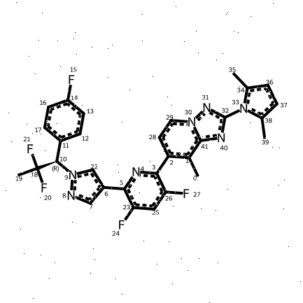 Cc1c(-c2nc(-c3cnn([C@H](c4ccc(F)cc4)C(C)(F)F)c3)c(F)cc2F)ccn2nc(-n3c(C)ccc3C)nc12